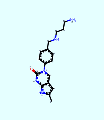 Cc1cc2cn(-c3ccc(CNCCCN)cc3)c(=O)nc2[nH]1